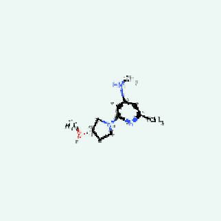 CNc1cc(C)nc(N2CC[C@H](OC)C2)c1